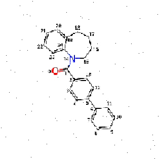 O=C(c1ccc(-c2ccccc2)cc1)N1CCCCc2ccccc21